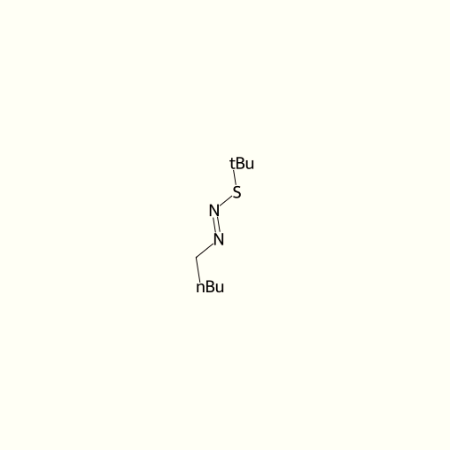 CCCCCN=NSC(C)(C)C